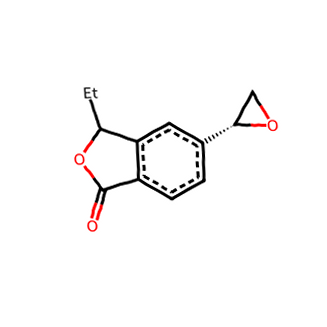 CCC1OC(=O)c2ccc([C@@H]3CO3)cc21